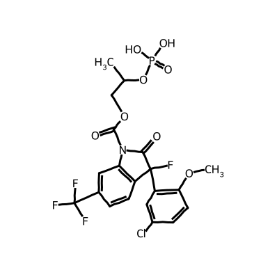 COc1ccc(Cl)cc1C1(F)C(=O)N(C(=O)OCC(C)OP(=O)(O)O)c2cc(C(F)(F)F)ccc21